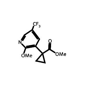 COC(=O)C1(c2cc(C(F)(F)F)cnc2OC)CC1